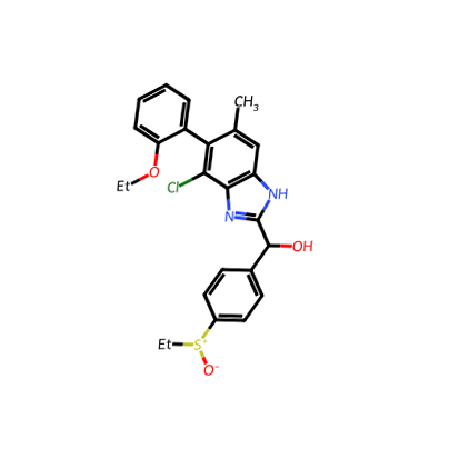 CCOc1ccccc1-c1c(C)cc2[nH]c(C(O)c3ccc([S+]([O-])CC)cc3)nc2c1Cl